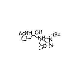 CC(=O)N[C@@H](Cc1ccccc1)[C@@H](O)CN[C@H]1CC2(CCC2)Oc2c1cc(CC(C)(C)C)nc2N(C)C